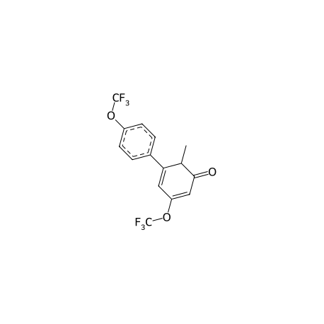 CC1C(=O)C=C(OC(F)(F)F)C=C1c1ccc(OC(F)(F)F)cc1